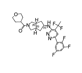 CC(F)(F)c1cc(-c2cc(F)cc(F)c2F)nnc1N[C@H]1C[C@@H]2CN(C(=O)C3CCOCC3)C[C@@H]2C1